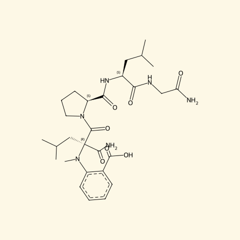 CC(C)C[C@H](NC(=O)[C@@H]1CCCN1C(=O)[C@@](CC(C)C)(C(N)=O)N(C)c1ccccc1C(=O)O)C(=O)NCC(N)=O